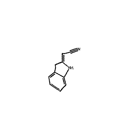 N#CC=C1Cc2ccccc2N1